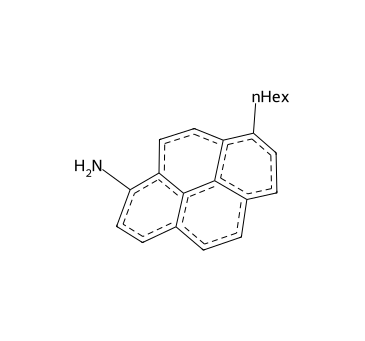 CCCCCCc1ccc2ccc3ccc(N)c4ccc1c2c34